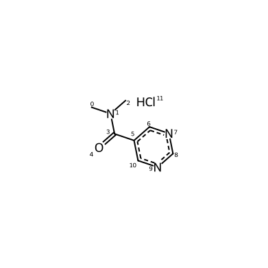 CN(C)C(=O)c1cncnc1.Cl